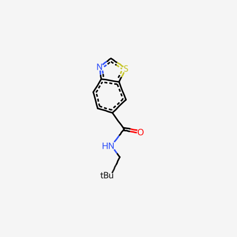 CC(C)(C)CNC(=O)c1ccc2ncsc2c1